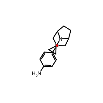 Nc1ccc(N2CC3CCC(C2)N3C2CC2)cc1